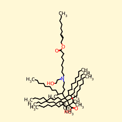 CCCCCC/C=C/COC(=O)CCCCCCCN(CCO)CCCC(C(C)CCCCCCCC)C(C(C)CCCCCCCC)(C(C)CCCCCCCC)C(C(C)CCCCCCCC)(C(C)CCCCCCCC)C(C(=O)O)(C(C)CCCCCCCC)C(C)CCCCCCCC